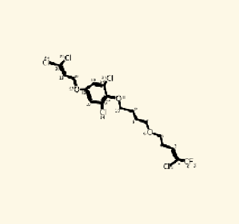 FC(F)(F)/C(Cl)=C/CCOCCCCOc1c(Cl)cc(OCC=C(Cl)Cl)cc1Cl